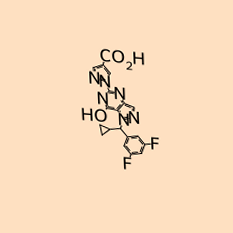 O=C(O)c1cnn(-c2nc(O)c3c(cnn3C(c3cc(F)cc(F)c3)C3CC3)n2)c1